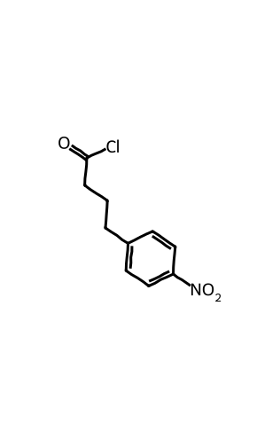 O=C(Cl)CCCc1ccc([N+](=O)[O-])cc1